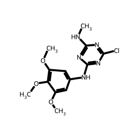 CNc1nc(Cl)nc(Nc2cc(OC)c(OC)c(OC)c2)n1